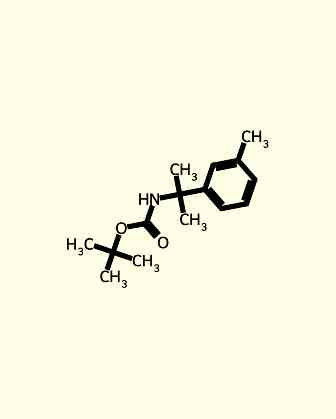 Cc1cccc(C(C)(C)NC(=O)OC(C)(C)C)c1